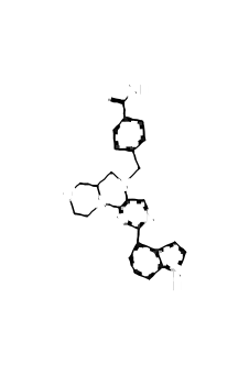 NC(=O)c1ccc(CN2CC3COCCN3c3nc(-c4cccc5[nH]ccc45)ncc32)cc1